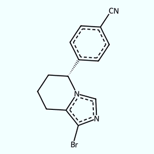 N#Cc1ccc([C@H]2CCCc3c(Br)ncn32)cc1